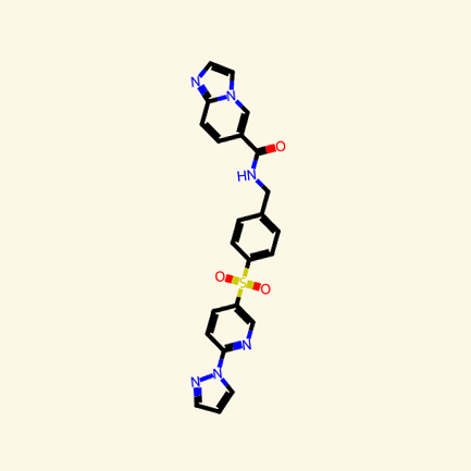 O=C(NCc1ccc(S(=O)(=O)c2ccc(-n3cccn3)nc2)cc1)c1ccc2nccn2c1